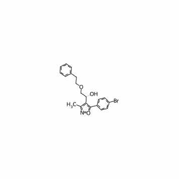 Cc1noc(-c2ccc(Br)cc2)c1[C@@H](O)COCCc1ccccc1